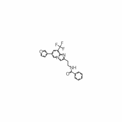 O=C(NCCc1cn2cc(-c3ccoc3)cc(C(F)(F)F)c2n1)c1ccccc1